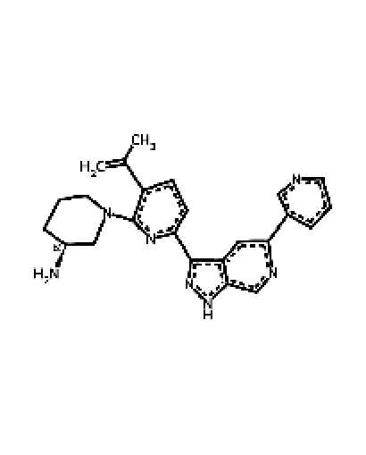 C=C(C)c1ccc(-c2n[nH]c3cnc(-c4cccnc4)cc23)nc1N1CCC[C@H](N)C1